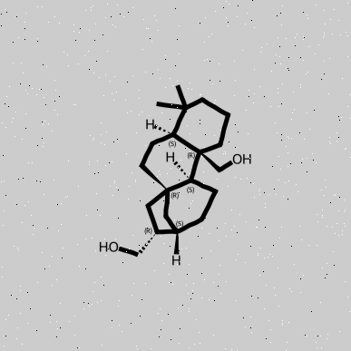 CC1(C)CCC[C@@]2(CO)[C@H]1CC[C@@]13C[C@@H](CO)[C@@H](CC[C@@H]12)C3